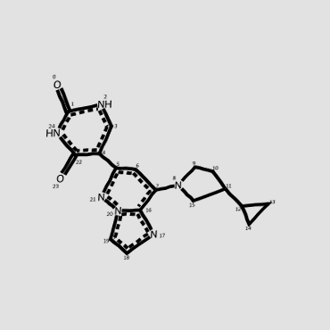 O=c1[nH]cc(-c2cc(N3CCC(C4CC4)C3)c3nccn3n2)c(=O)[nH]1